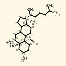 CC(C)CCCC(C)[C@H]1CCC2C3C[C@@H](O)[C@@]4(O)C[C@@H](O)CC[C@]4(CF)C3CC[C@@]21C